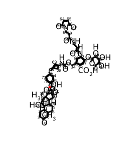 C[C@]12C=CC(=O)C=C1CC[C@@H]1[C@@H]2[C@@H](O)C[C@@]2(C)[C@H]1C[C@H]1O[C@@H](c3ccc(CC45CC(NC(=O)OCc6ccc(O[C@@H]7O[C@H](C(=O)O)[C@@H](O)[C@H](O)[C@H]7O)c(NC(=O)CCNC(=O)CCN7C(=O)C=CC7=O)c6)(C4)C5)cc3)O[C@]12C(=O)CO